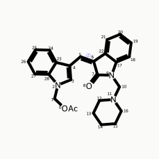 CC(=O)OCn1cc(/C=C2\C(=O)N(CN3CCCCC3)c3ccccc32)c2ccccc21